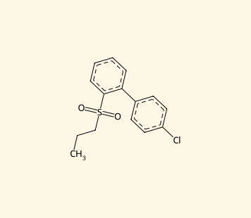 CCCS(=O)(=O)c1ccccc1-c1ccc(Cl)cc1